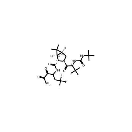 CC(C)(C)NC(=O)N[C@H](C(=O)N1C[C@H]2[C@@H]([C@H]1C(=O)NC(CC(F)(F)F)C(=O)C(N)=O)C2(C)C)C(C)(C)C